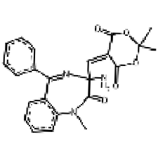 CN1C(=O)C(N)(C=C2C(=O)OC(C)(C)OC2=O)N=C(c2ccccc2)c2ccccc21